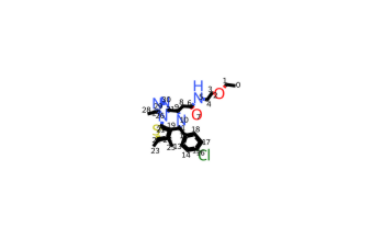 CCOCCNC(=O)CC1N=C(c2ccc(Cl)cc2)c2c(sc(C)c2C)-n2c(C)nnc21